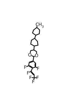 CC1CCC(C2CCC(C3COC(c4cc(F)c(/C(F)=C/C(F)(F)F)c(F)c4)OC3)CC2)CC1